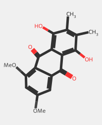 COc1cc(OC)c2c(c1)C(=O)c1c(O)c(C)c(C)c(O)c1C2=O